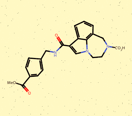 COC(=O)c1ccc(CNC(=O)c2cn3c4c(cccc24)CN(C(=O)O)CC3)cc1